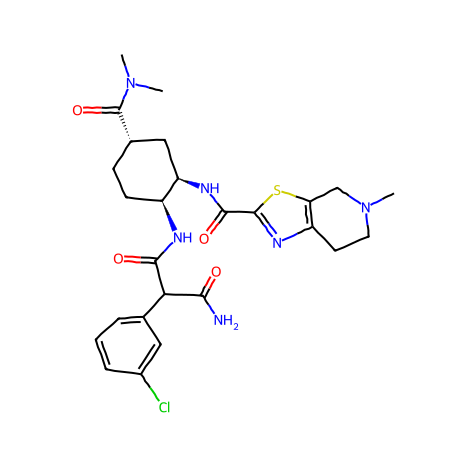 CN1CCc2nc(C(=O)N[C@@H]3C[C@@H](C(=O)N(C)C)CC[C@@H]3NC(=O)C(C(N)=O)c3cccc(Cl)c3)sc2C1